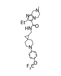 CCc1nc2n(c1C(=O)NCC1CC13CCN(c1ccc(OC(F)(F)F)cc1)CC3)CCN(C)C2